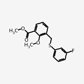 COC(=O)c1cccc(CSc2cccc(F)c2)c1OC